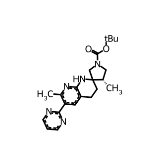 Cc1nc2c(cc1-c1ncccn1)CCC1(CN(C(=O)OC(C)(C)C)C[C@@H]1C)N2